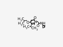 CC(C)COc1cc(=O)n(CC(=O)NC23CC(C2)C3)nc1C(C)C